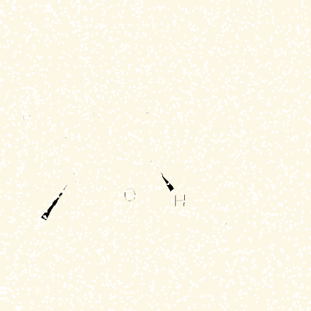 CC(C)C[C@@H]1O[C@]2(C)CCC1(C)CC2C